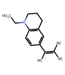 [C-]#[N+]C([N+]#[C-])=C(C#N)c1ccc2c(c1)CCCN2CC(=O)O